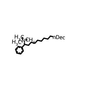 CCCCCCCCCCCCCCCCCCC(c1ccccc1)[N+](C)(C)C